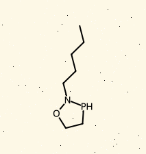 CCCCCN1OCCP1